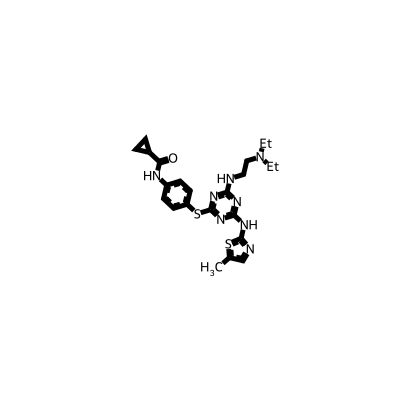 CCN(CC)CCNc1nc(Nc2ncc(C)s2)nc(Sc2ccc(NC(=O)C3CC3)cc2)n1